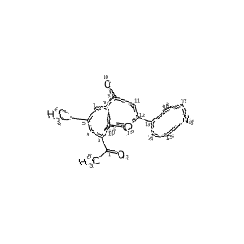 CC(=O)c1cc(C)cc2c(=O)cc(-c3ccncc3)oc12